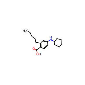 CCCCCc1cc(NC2CCCCC2)ccc1C(=O)O